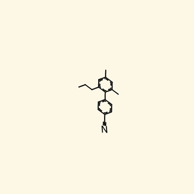 CCCc1cc(C)cc(C)c1-c1ccc(C#N)cc1